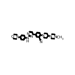 CN1CCN(C2CCN(c3ccc(-c4ccnc(Nc5ccc(N6CCOCC6)cc5)n4)cc3C#N)CC2)CC1